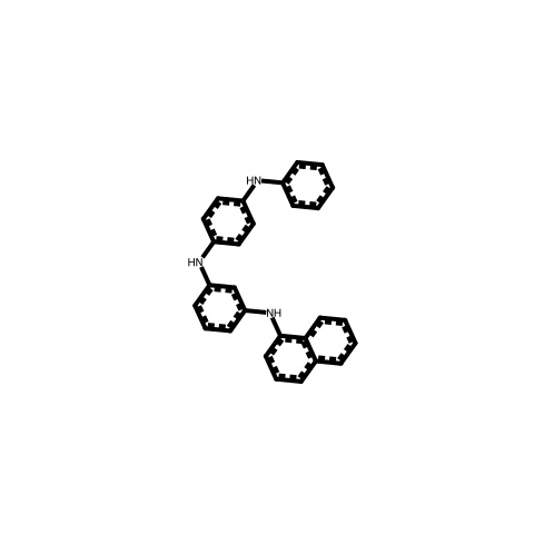 c1ccc(Nc2ccc(Nc3cccc(Nc4cccc5ccccc45)c3)cc2)cc1